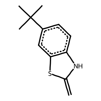 C=C1Nc2ccc(C(C)(C)C)cc2S1